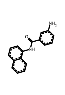 Nc1cccc(C(=O)Nc2cccc3ccccc23)c1